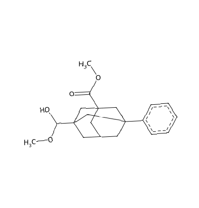 COC(=O)C12CC3CC(c4ccccc4)(C1)CC(C(O)OC)(C3)C2